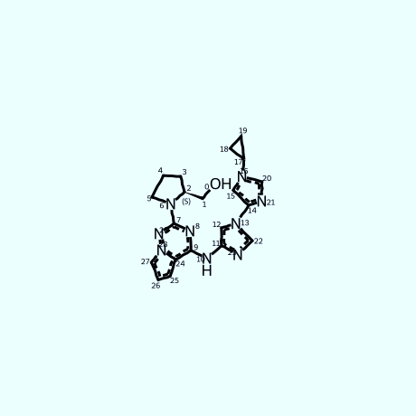 OC[C@@H]1CCCN1c1nc(Nc2cn(-c3cn(C4CC4)cn3)cn2)c2cccn2n1